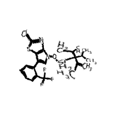 CC(C)C([SiH2]On1cc(-c2ccccc2C(F)(F)F)c2sc(Cl)nc21)(C(C)C)C(C)C